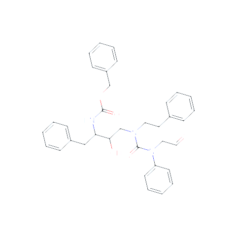 O=[C]CN(C(=O)N(CCc1ccccc1)CC(O)C(Cc1ccccc1)NC(=O)OCc1ccccc1)c1ccccc1